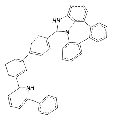 C1=CC(C2=CC(C3=CC=C(C4Nc5cccc6c5N4c4ccccc4-c4ccccc4-6)CC3)=CCC2)NC(c2ccccc2)=C1